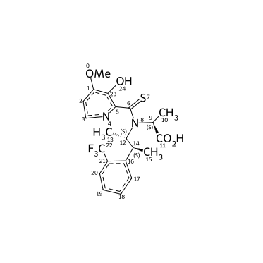 COc1ccnc(C(=S)N([C@@H](C)C(=O)O)[C@@H](C)[C@@H](C)c2ccccc2C(F)(F)F)c1O